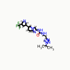 CC(C)n1nnc(CCNC(=O)Nc2cn3cc(-c4cncc(C(F)(F)F)c4)ccc3n2)n1